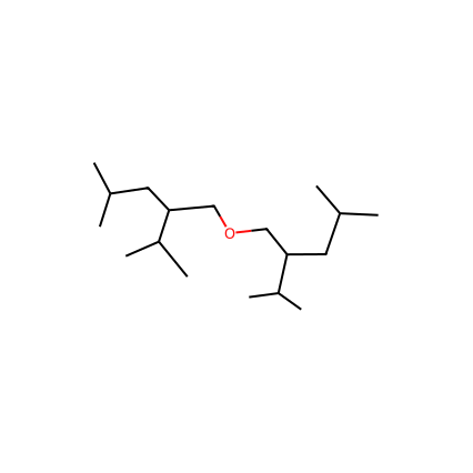 CC(C)CC(COCC(CC(C)C)C(C)C)C(C)C